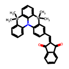 C[Si]1(C)c2ccccc2N2c3ccc(C=C4C(=O)c5ccccc5C4=O)cc3[Si](C)(C)c3cccc1c32